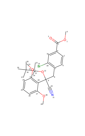 COC(=O)c1ccc(CC(C#N)(O[Si](C)(C)C(C)(C)C)c2c(OC)cccc2OC)c(Br)c1